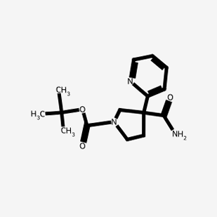 CC(C)(C)OC(=O)N1CCC(C(N)=O)(c2ccccn2)C1